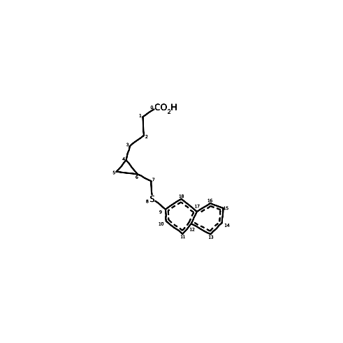 O=C(O)CCCC1CC1CSc1ccc2ccccc2c1